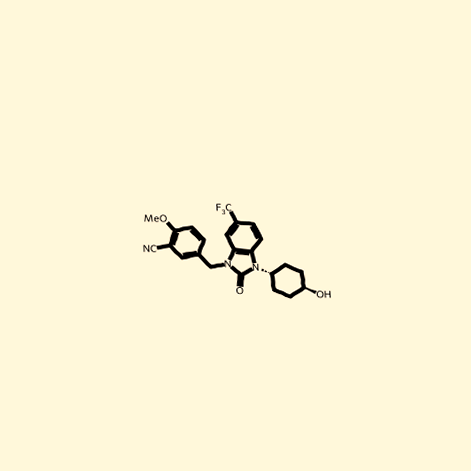 COc1ccc(Cn2c(=O)n([C@H]3CC[C@H](O)CC3)c3ccc(C(F)(F)F)cc32)cc1C#N